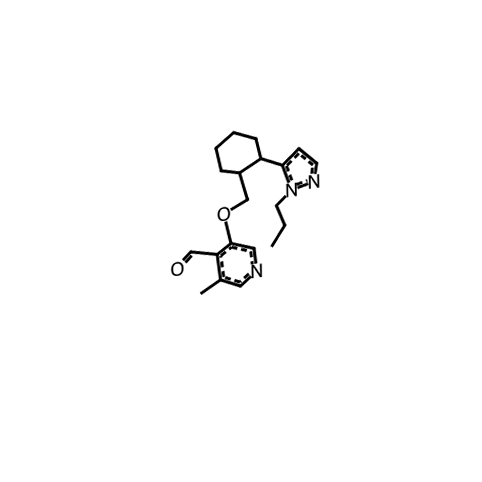 CCCn1nccc1C1CCCCC1COc1cncc(C)c1C=O